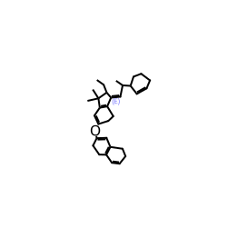 CCC1/C(=C\C(C)C2C=CCCC2)C2=C(C=C(OC3=CC4=C(C=CCC4)CC3)CC2)C1(C)C